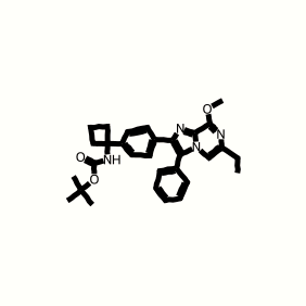 CCc1cn2c(-c3ccccc3)c(-c3ccc(C4(NC(=O)OC(C)(C)C)CCC4)cc3)nc2c(OC)n1